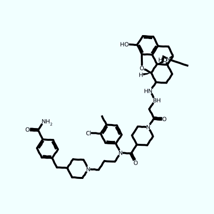 Cc1ccc(N(CCCN2CCC(Cc3ccc(C(N)=O)cc3)CC2)C(=O)C2CCN(C(=O)CBNC3CC[C@@]4(O)C5Cc6ccc(O)c7c6[C@@]4(CCN5C)[C@H]3O7)CC2)cc1Cl